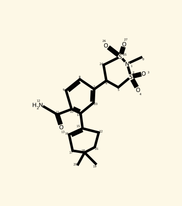 CN1S(=O)(=O)CC(c2ccc(C(N)=O)c(C3=CCC(C)(C)CC3)c2)CS1(=O)=O